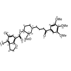 COc1cc(C(=O)CCCN2CC[C@H](OC(=O)c3cc(Cl)c(N)c4c3OCC4)[C@H](OC)C2)cc(OC)c1OC